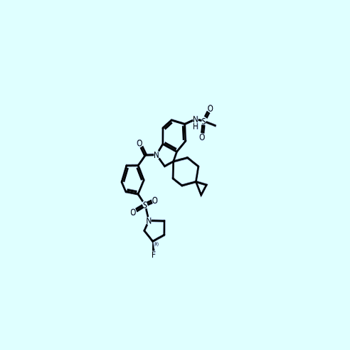 CS(=O)(=O)Nc1ccc2c(c1)C1(CCC3(CC3)CC1)CN2C(=O)c1cccc(S(=O)(=O)N2CC[C@@H](F)C2)c1